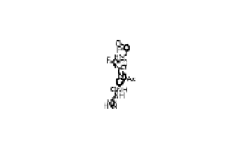 CC(=O)c1cn(CC(=O)N2C[C@H](F)C[C@H]2C(=O)NCc2cccc(Cl)c2F)c2ccc(NC(=O)NCc3nn[nH]n3)cc12